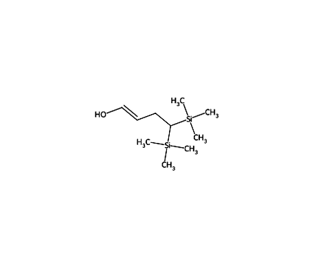 C[Si](C)(C)C(CC=CO)[Si](C)(C)C